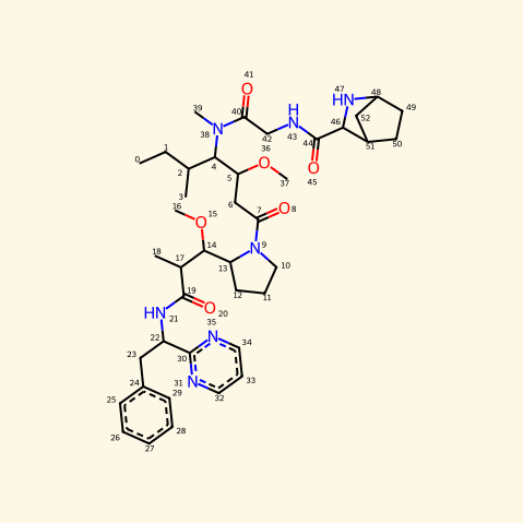 CCC(C)C(C(CC(=O)N1CCCC1C(OC)C(C)C(=O)NC(Cc1ccccc1)c1ncccn1)OC)N(C)C(=O)CNC(=O)C1NC2CCC1C2